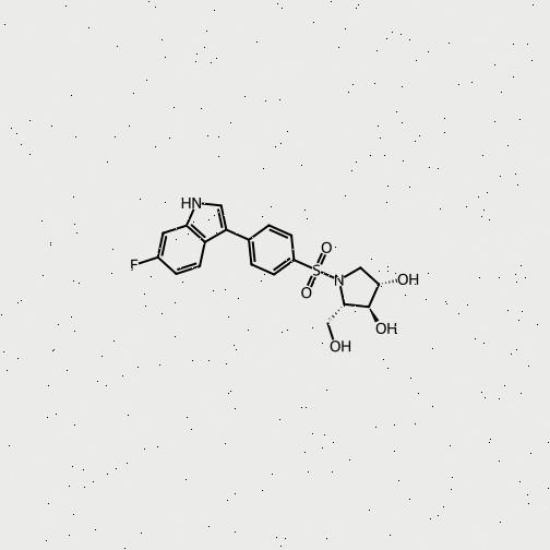 O=S(=O)(c1ccc(-c2c[nH]c3cc(F)ccc23)cc1)N1C[C@H](O)[C@@H](O)[C@@H]1CO